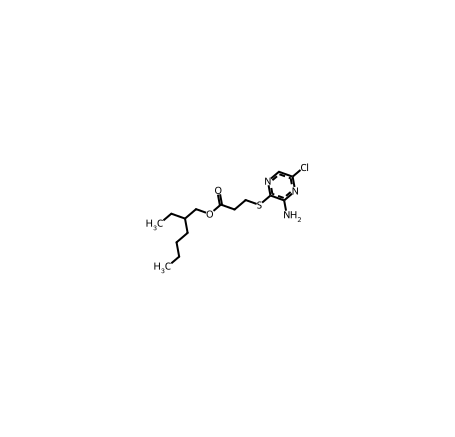 CCCCC(CC)COC(=O)CCSc1ncc(Cl)nc1N